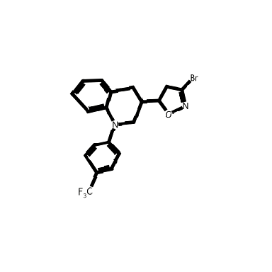 FC(F)(F)c1ccc(N2CC(C3CC(Br)=NO3)Cc3ccccc32)cc1